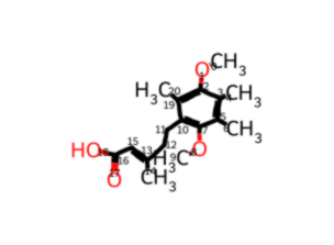 COc1c(C)c(C)c(OC)c(CCC(C)=CC(=O)O)c1C